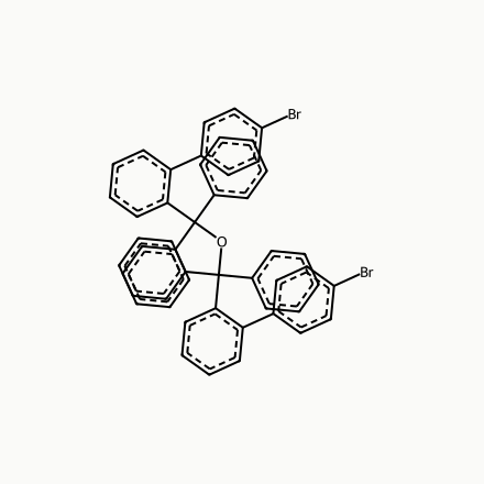 Brc1ccc(-c2ccccc2C(OC(c2ccccc2)(c2ccccc2)c2ccccc2-c2ccc(Br)cc2)(c2ccccc2)c2ccccc2)cc1